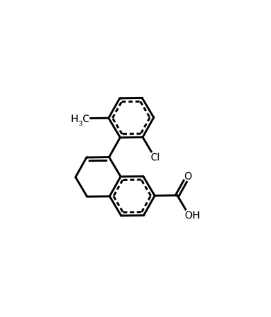 Cc1cccc(Cl)c1C1=CCCc2ccc(C(=O)O)cc21